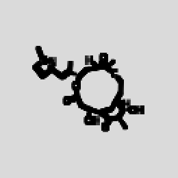 C/C(=C\c1ccn(C)n1)[C@@H]1C[C@@H]2O[C@]2(C)CCC[C@@H]2C=C(C(=O)[C@H](C)[C@H]2O)[C@@H](O)CC(=O)O1